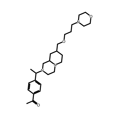 CC(=O)c1ccc(C(C)N2CCN3CCC(COCCCN4CCOCC4)CC3C2)cc1